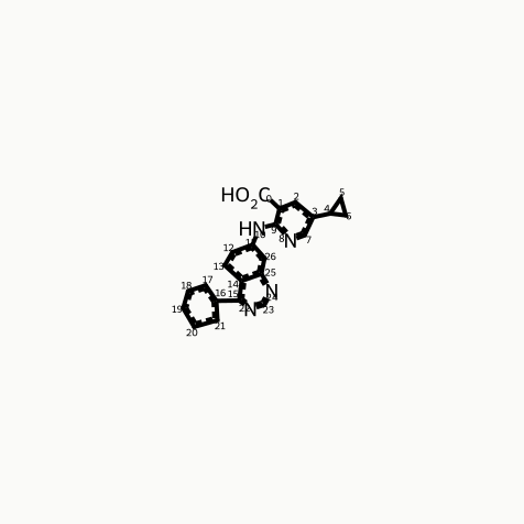 O=C(O)c1cc(C2CC2)cnc1Nc1ccc2c(-c3ccccc3)ncnc2c1